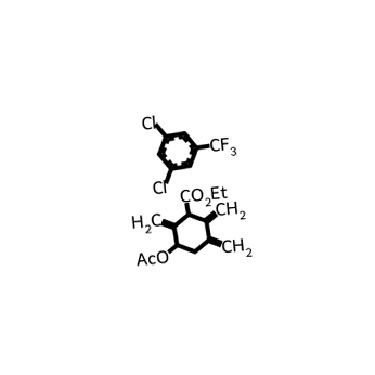 C=C1CC(OC(C)=O)C(=C)C(C(=O)OCC)C1=C.FC(F)(F)c1cc(Cl)cc(Cl)c1